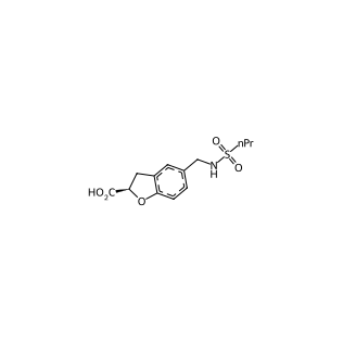 CCCS(=O)(=O)NCc1ccc2c(c1)C[C@H](C(=O)O)O2